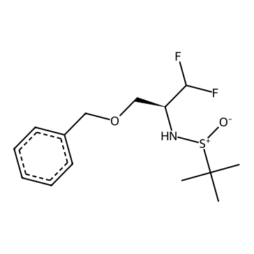 CC(C)(C)[S+]([O-])N[C@@H](COCc1ccccc1)C(F)F